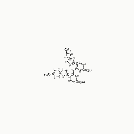 CN1CCC2(CC1)CCN(c1ccc(C(C)(C)C)cc1Cc1cc(C(C)(C)C)ccc1N1CCC3(CN(C)C3)C1)C2